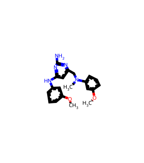 COc1cccc(Nc2cc(CN(C)c3cccc(OC)c3)nc(N)n2)c1